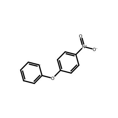 O=[N+]([O-])c1ccc(Oc2[c]cccc2)cc1